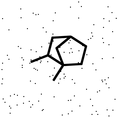 CC1CC2CCC1(C)C2